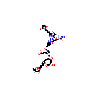 CC[C@H](O)[C@@H](C)[C@H]1O[C@@H]1CC(C)(O)/C=C/C=C(\C)[C@H]1OC(=O)C[C@H](O)CC[C@@](C)(OC)[C@@H](OC(=O)N2CCN(C(=O)OCc3ccc(NC(=O)[C@H](CCCNC(N)=O)NC(=O)[C@@H](NC(=O)CCCCCN4C(=O)C=CC4=O)C(C)C)cc3)[C@@H](CCC(=O)O)C2)/C=C/[C@@H]1C